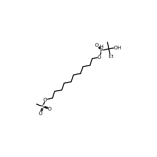 CCC(C)(O)[PH](=O)OCCCCCCCCCCOS(C)(=O)=O